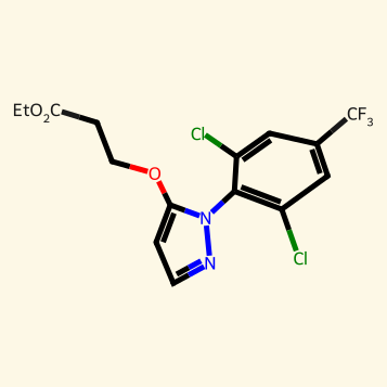 CCOC(=O)CCOc1ccnn1-c1c(Cl)cc(C(F)(F)F)cc1Cl